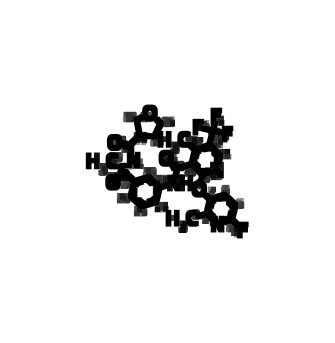 Cc1nc(F)ccc1Oc1ncc(C(F)(F)F)c(C)c1C(=O)Nc1cccc([S@@](C)(=O)=NC(=O)[C@@H]2CCOC2)c1